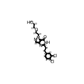 O=c1[nH]c(CCc2ccc(Cl)c(Cl)c2)nc2cnn(CCOCCO)c12